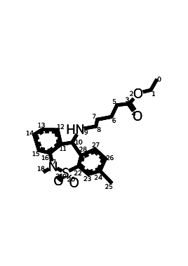 CCOC(=O)CCCCNC1c2ccccc2N(C)S(=O)(=O)c2cc(C)ccc21